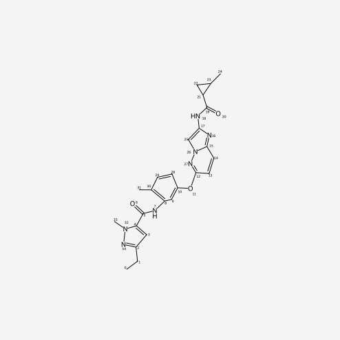 CCc1cc(C(=O)Nc2cc(Oc3ccc4nc(NC(=O)C5CC5C)cn4n3)ccc2C)n(C)n1